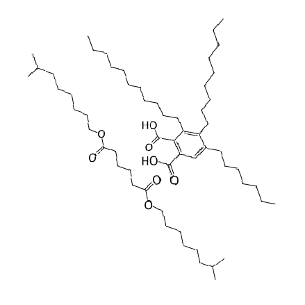 CC(C)CCCCCCOC(=O)CCCCC(=O)OCCCCCCC(C)C.CCCCCCCCCCCc1c(CCCCCCCCC)c(CCCCCCC)cc(C(=O)O)c1C(=O)O